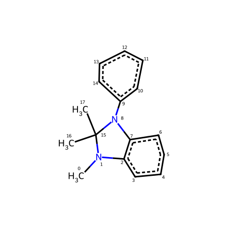 CN1c2ccccc2N(c2ccccc2)C1(C)C